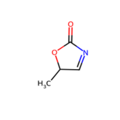 CC1C=NC(=O)O1